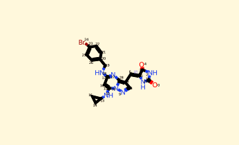 O=C1NC(=O)/C(=C/c2cnn3c(NC4CC4)cc(NCc4ccc(Br)cc4)nc23)N1